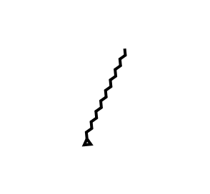 CCCCCCCCCCCCCCCCC[C]1CC1